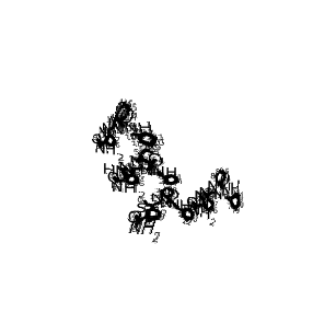 Cc1sc2c(C(N)=O)cccc2c1-c1nc2c(c(NCc3ccccc3)n1)OCCC2.NC(=O)c1cccc2c(-c3nc4c(c(NCc5ccccc5)n3)OCCC4)n[nH]c12.NC(=O)c1cccc2c(-c3nc4c(c(NCc5ccccc5)n3)OCCC4)nnn12.NC(=O)c1cccn2c(-c3nc4c(c(NCc5ccccc5)n3)OCCC4)nnc12